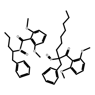 CCCC(Cc1ccccc1)[P](=O)C(=O)c1c(OC)cccc1OC.CCCCCCCC(Cc1ccccc1)(P=O)C(=O)c1c(OC)cccc1OC